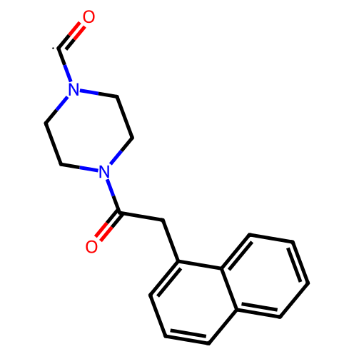 O=[C]N1CCN(C(=O)Cc2cccc3ccccc23)CC1